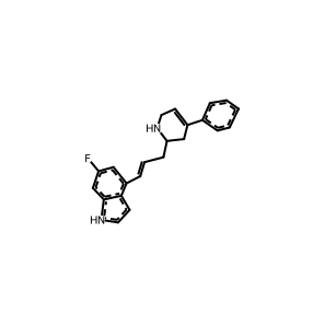 Fc1cc(C=CCC2CC(c3ccccc3)=CCN2)c2cc[nH]c2c1